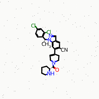 C[C@H](c1ccc(Cl)cc1Cl)n1ncc2cc(C#N)c(C3=CCN(C(=O)[C@H]4CCCCN4)CC3)cc21